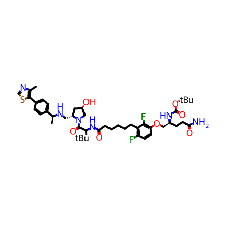 Cc1ncsc1-c1ccc([C@H](C)NC[C@@H]2C[C@@H](O)CN2C(=O)C(NC(=O)CCCCCc2c(F)ccc(OC[C@H](CCC(N)=O)NC(=O)OC(C)(C)C)c2F)C(C)(C)C)cc1